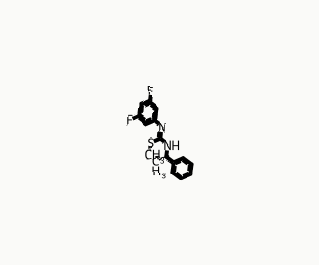 CSC(=Nc1cc(F)cc(F)c1)N[C@@H](C)c1ccccc1